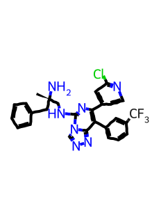 C[C@@](N)(CNc1nc(-c2ccnc(Cl)c2)c(-c2cccc(C(F)(F)F)c2)c2nncn12)Cc1ccccc1